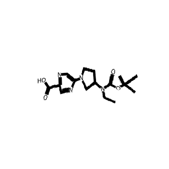 CCN(C(=O)OC(C)(C)C)C1CCN(c2cnc(C(=O)O)cn2)C1